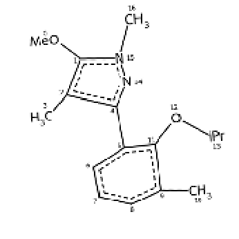 COc1c(C)c(-c2cccc(C)c2OC(C)C)nn1C